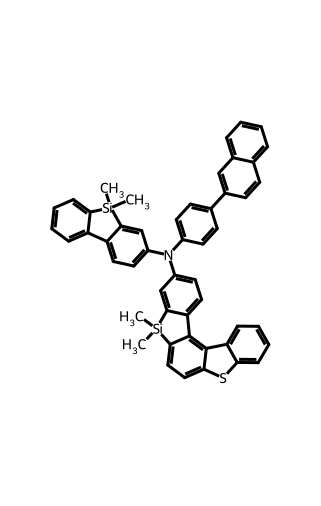 C[Si]1(C)c2ccccc2-c2ccc(N(c3ccc(-c4ccc5ccccc5c4)cc3)c3ccc4c(c3)[Si](C)(C)c3ccc5sc6ccccc6c5c3-4)cc21